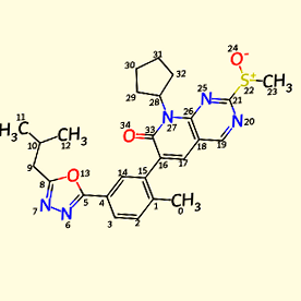 Cc1ccc(-c2nnc(CC(C)C)o2)cc1-c1cc2cnc([S+](C)[O-])nc2n(C2CCCC2)c1=O